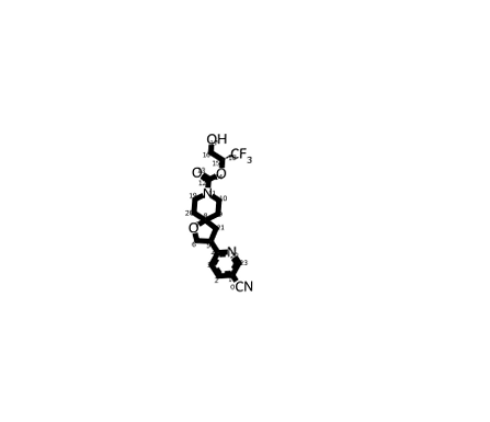 N#Cc1ccc(C2COC3(CCN(C(=O)O[C@H](CO)C(F)(F)F)CC3)C2)nc1